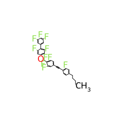 CCCCCc1ccc(C#Cc2cc(F)c(C(F)(F)Oc3cc(F)c(-c4cc(F)c(F)c(F)c4)c(F)c3)c(F)c2)c(F)c1